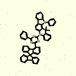 CC1(C)c2ccccc2N(c2nc(-c3ccccc3)nc(-c3cccc4c3-c3ccccc3C43c4ccccc4-c4ccccc43)n2)c2ccc3c4ccccc4n(-c4ccccc4)c3c21